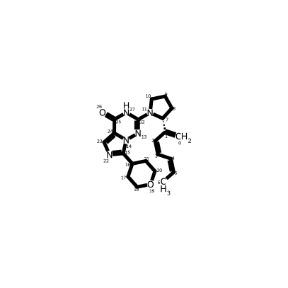 C=C(/C=C\C=C/C)[C@H]1CCCN1c1nn2c(C3CCOCC3)ncc2c(=O)[nH]1